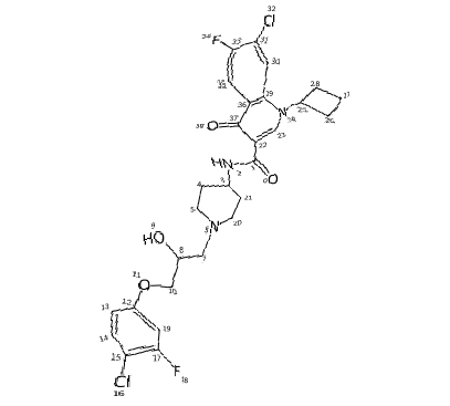 O=C(NC1CCN(CC(O)COc2ccc(Cl)c(F)c2)CC1)c1cn(C2CCC2)c2cc(Cl)c(F)cc2c1=O